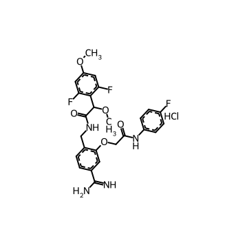 COc1cc(F)c(C(OC)C(=O)NCc2ccc(C(=N)N)cc2OCC(=O)Nc2ccc(F)cc2)c(F)c1.Cl